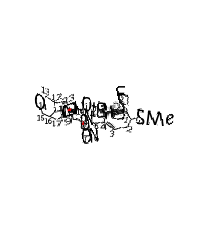 CSC1CC=C(c2noc(COC3C4COCC3CN(C(=O)OC(C)(C)C)C4)n2)C=C1F